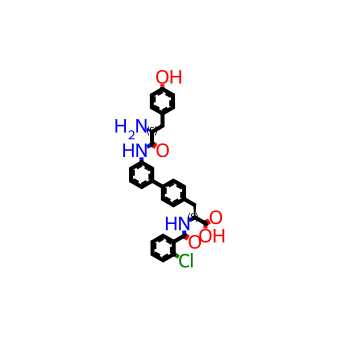 N[C@@H](Cc1ccc(O)cc1)C(=O)Nc1cccc(-c2ccc(C[C@H](NC(=O)c3ccccc3Cl)C(=O)O)cc2)c1